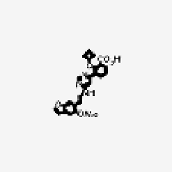 COc1cc2ccoc2cc1CCNc1cc(-c2cccc(C(=O)O)c2OC2CCC2)ncn1